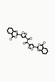 O=C(C(=O)c1cc(-c2nc3ccccc3c(=O)o2)on1)c1cc(-c2nc3ccccc3c(=O)o2)on1